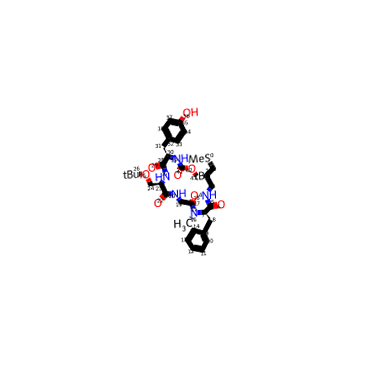 CSCCCNC(=O)[C@H](Cc1ccccc1)N(C)C(=O)CNC(=O)[C@@H](COC(C)(C)C)NC(=O)[C@H](Cc1ccc(O)cc1)NC(=O)OC(C)(C)C